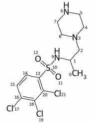 CC(CN1CCNCC1)NS(=O)(=O)c1ccc(Cl)c(Cl)c1Cl